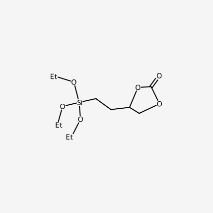 CCO[Si](CCC1COC(=O)O1)(OCC)OCC